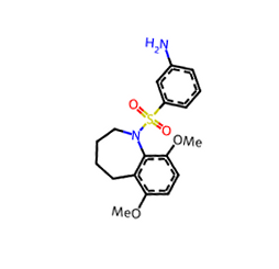 COc1ccc(OC)c2c1CCCCN2S(=O)(=O)c1cccc(N)c1